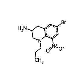 CCCN1CC(N)Cc2cc(Br)cc([N+](=O)[O-])c21